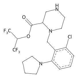 O=C(OC(C(F)(F)F)C(F)(F)F)C1CNCCN1Cc1c(Cl)cccc1N1CCCC1